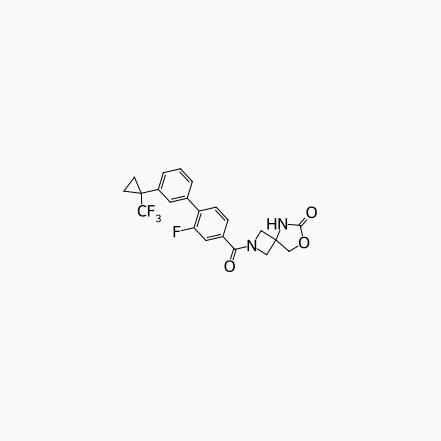 O=C1NC2(CO1)CN(C(=O)c1ccc(-c3cccc(C4(C(F)(F)F)CC4)c3)c(F)c1)C2